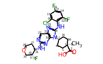 C[C@]1(C(=O)O)CC[C@H](n2c(Nc3c(F)cc(F)cc3Cl)nc3cnc(N[C@H]4CCOC[C@H]4F)nc32)CC1